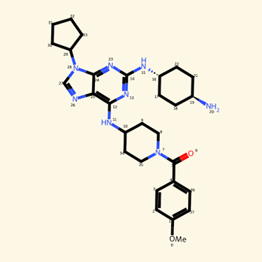 COc1ccc(C(=O)N2CCC(Nc3nc(N[C@H]4CC[C@H](N)CC4)nc4c3ncn4C3CCCC3)CC2)cc1